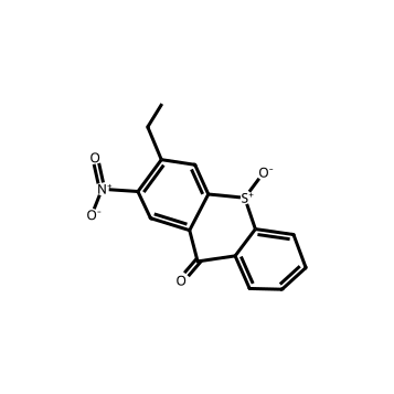 CCc1cc2c(cc1[N+](=O)[O-])c(=O)c1ccccc1[s+]2[O-]